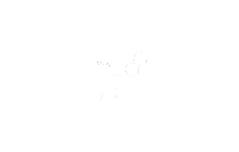 CNCC1(c2ccc3ccccc3c2)CCC(O)(CF)CC1